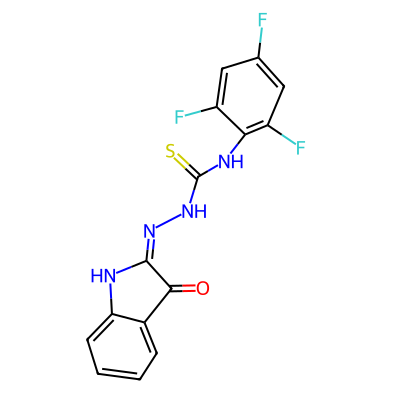 O=C1C(=NNC(=S)Nc2c(F)cc(F)cc2F)Nc2ccccc21